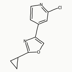 Clc1cc(-c2coc(C3CC3)n2)ccn1